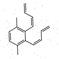 C=C/C=C\c1c(C)ccc(C)c1/C=C\C=C